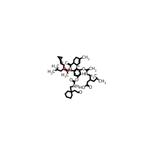 C=C(NCC(CC(=O)O)CC(C)C)Oc1cc(OC(=O)NCC2(CC=O)CCCCC2)cc(NCC(CC=C2CC2)CC(C)C)c1[C@@H]1C=C(C)CCC1C(=C)OC(C)=O